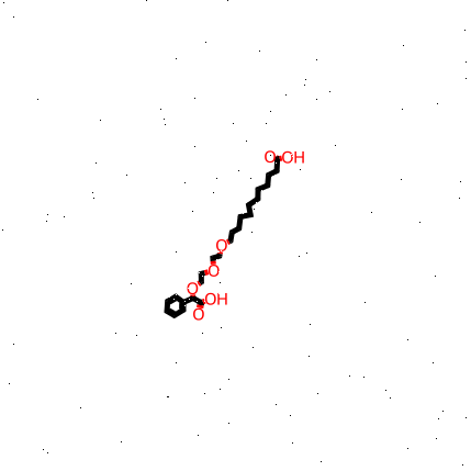 O=C(O)CCCCCCCCCCCOCCOCCOC(C(=O)O)c1ccccc1